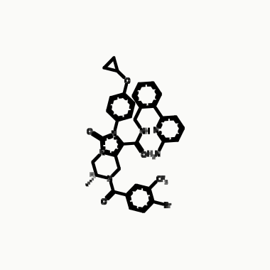 C[C@@H]1Cn2c(c(C(=O)NCc3ccccc3-c3cccc(N)n3)n(-c3ccc(OC4CC4)cc3)c2=O)CN1C(=O)c1ccc(Br)c(C(F)(F)F)c1